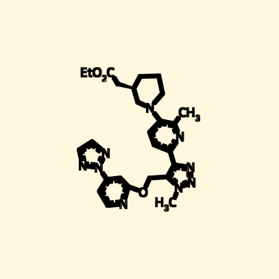 CCOC(=O)C[C@H]1CCCN(c2ccc(-c3nnn(C)c3COc3cc(-n4nccn4)ccn3)nc2C)C1